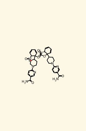 NC(=O)c1ccc(N2CCC(C3(OC(=O)OC4(C5CCN(c6ccc(C(N)=O)cn6)CC5)C=CC=CC4[N+](=O)[O-])C=CC=CC3[N+](=O)[O-])CC2)nc1